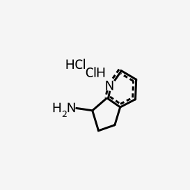 Cl.Cl.NC1CCc2cccnc21